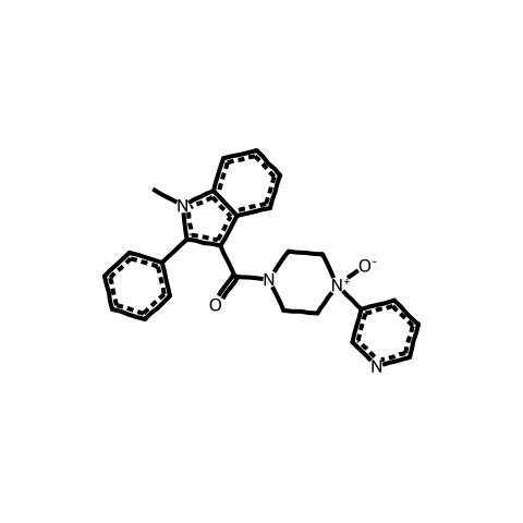 Cn1c(-c2ccccc2)c(C(=O)N2CC[N+]([O-])(c3cccnc3)CC2)c2ccccc21